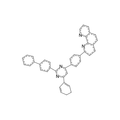 C1=CC(c2cc(-c3ccc(-c4ccc5ccc6cccnc6c5n4)cc3)nc(-c3ccc(-c4ccccc4)cc3)n2)=CCC1